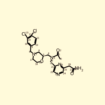 CC(=O)N(C[C@@H]1CN(Cc2ccc(Cl)c(Cl)c2)CCO1)Sc1cncc(CC(N)=O)n1